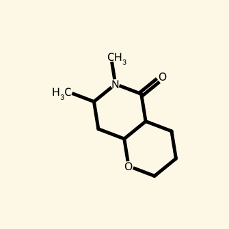 CC1CC2OCCCC2C(=O)N1C